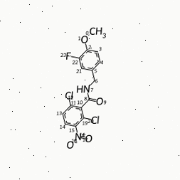 COc1ccc(CNC(=O)c2c(Cl)ccc([N+](=O)[O-])c2Cl)cc1F